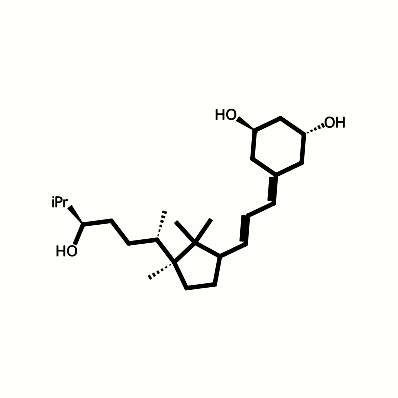 CC(C)[C@H](O)CC[C@H](C)[C@]1(C)CCC(/C=C/C=C2C[C@@H](O)C[C@H](O)C2)C1(C)C